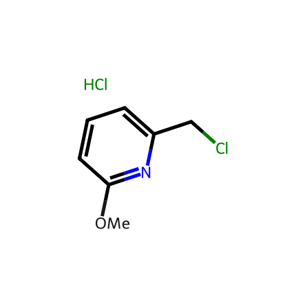 COc1cccc(CCl)n1.Cl